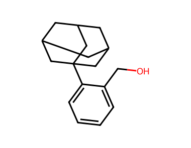 OCc1ccccc1C12CC3CC(CC(C3)C1)C2